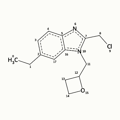 CCc1ccc2nc(CCl)n(CC3CCO3)c2c1